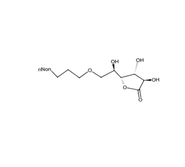 CCCCCCCCCCCCOC[C@@H](O)[C@H]1OC(=O)[C@H](O)[C@H]1O